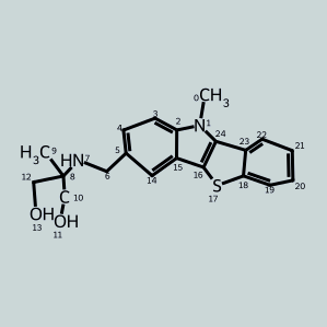 Cn1c2ccc(CNC(C)(CO)CO)cc2c2sc3ccccc3c21